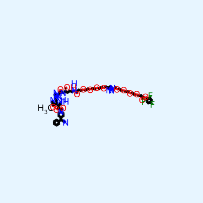 COc1cnc(-n2cnc(C(=O)N[C@H](CO)CCCNC(=O)CCOCCOCCOCCOCc3cn(COCCOCCOCCOCCC(=O)Oc4c(F)cc(F)cc4F)nn3)n2)c2[nH]cc(C(=O)C(=O)N3CCC(=C(C#N)c4ccccc4)CC3)c12